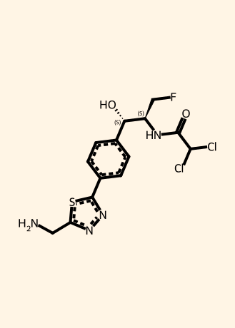 NCc1nnc(-c2ccc([C@H](O)[C@@H](CF)NC(=O)C(Cl)Cl)cc2)s1